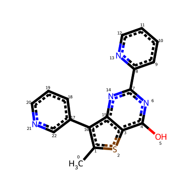 Cc1sc2c(O)nc(-c3ccccn3)nc2c1-c1cccnc1